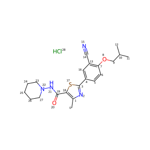 Cc1nc(-c2ccc(OCC(C)C)c(C#N)c2)sc1C(=O)NN1CCCCC1.Cl